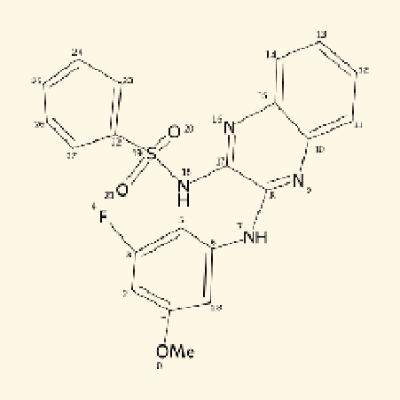 COc1cc(F)cc(Nc2nc3ccccc3nc2NS(=O)(=O)c2ccccc2)c1